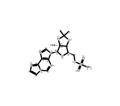 CC1(C)OC2[C@@H](COS(N)(=O)=O)O[C@@H](n3cnc4c3ncn3ccnc43)[C@H]2O1